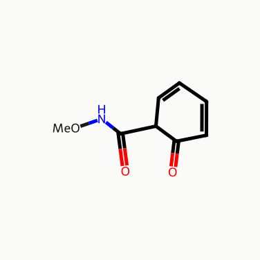 CONC(=O)C1C=CC=CC1=O